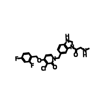 CNCC(=O)N1CNc2ccc(Cn3ccc(OCc4ccc(F)cc4F)c(Cl)c3=O)cc21